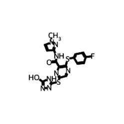 Cn1ccc(NC(=O)c2nc(Sc3nnc(O)[nH]3)cnc2Sc2ccc(F)cc2)n1